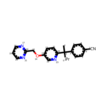 CC(C)C(C)(c1ccc(C#N)cc1)c1ccc(OCc2ncccn2)cn1